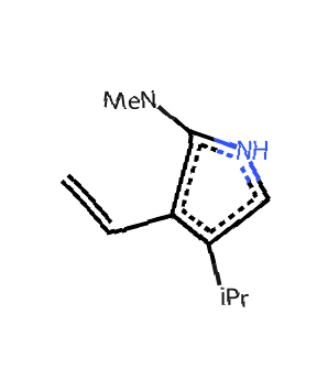 C=Cc1c(C(C)C)c[nH]c1NC